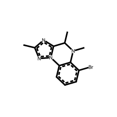 Cc1nc2n(n1)-c1cccc(Br)c1N(C)C2C